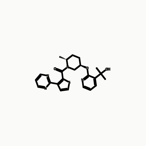 C[C@@H]1CC[C@@H](Oc2ncccc2C(C)(C)O)CN1C(=O)c1sccc1-c1ncccn1